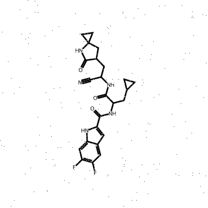 N#CC(CC1CC2(CC2)NC1=O)NC(=O)C(CC1CC1)NC(=O)c1cc2cc(F)c(F)cc2[nH]1